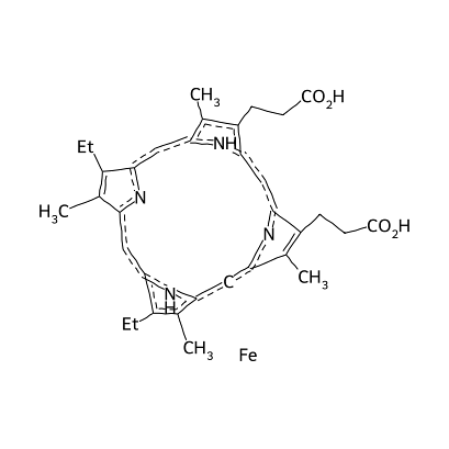 CCC1=C(C)c2cc3[nH]c(cc4nc(cc5[nH]c(cc1n2)c(C)c5CCC(=O)O)C(CCC(=O)O)=C4C)c(C)c3CC.[Fe]